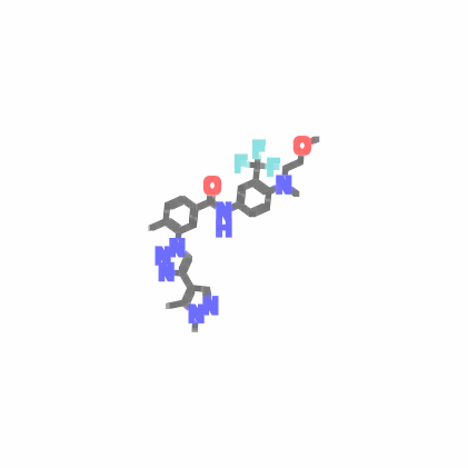 COCCN(C)c1ccc(NC(=O)c2ccc(C)c(-n3cc(-c4cnn(C)c4C)nn3)c2)cc1C(F)(F)F